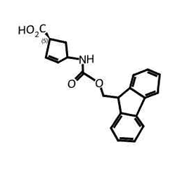 O=C(NC1C=C[C@@H](C(=O)O)C1)OCC1c2ccccc2-c2ccccc21